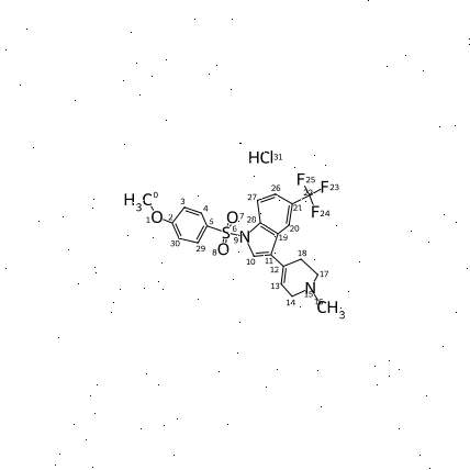 COc1ccc(S(=O)(=O)n2cc(C3=CCN(C)CC3)c3cc(C(F)(F)F)ccc32)cc1.Cl